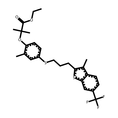 CCOC(=O)C(C)(C)Oc1ccc(SCCCc2sc3cc(C(F)(F)F)ccc3c2C)cc1C